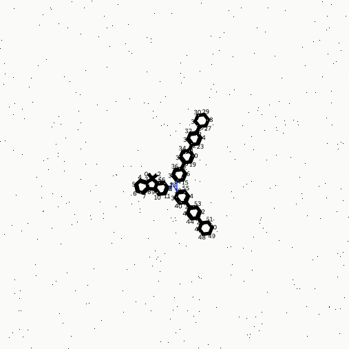 CC1(C)c2ccccc2-c2ccc(N(c3ccc(-c4ccc(-c5ccc(C6CCCCC6)cc5)cc4)cc3)c3ccc(-c4ccc(C5CCCCC5)cc4)cc3)cc21